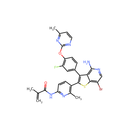 C=C(C)C(=O)Nc1ccc(-c2sc3c(Br)cnc(N)c3c2-c2ccc(Oc3nccc(C)n3)c(F)c2)c(C)n1